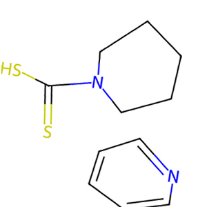 S=C(S)N1CCCCC1.c1ccncc1